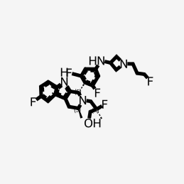 C[C@H]1Cc2c([nH]c3ccc(F)cc23)[C@H](c2c(F)cc(NC3CN(CCCF)C3)cc2F)N1C[C@@](C)(F)CO